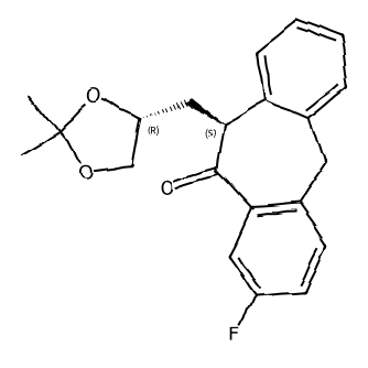 CC1(C)OC[C@@H](C[C@@H]2C(=O)c3cc(F)ccc3Cc3ccccc32)O1